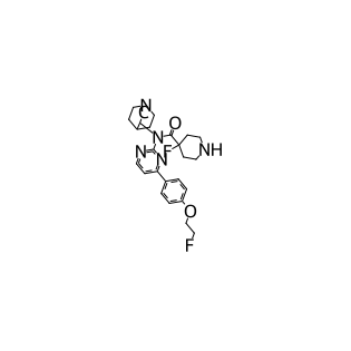 O=C(N(c1nccc(-c2ccc(OCCF)cc2)n1)C1CN2CCC1CC2)C1(F)CCNCC1